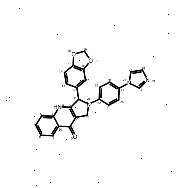 O=c1c2c([nH]c3ccccc13)C(c1ccc3c(c1)OCO3)N(c1ccc(-n3ccnc3)cc1)C2